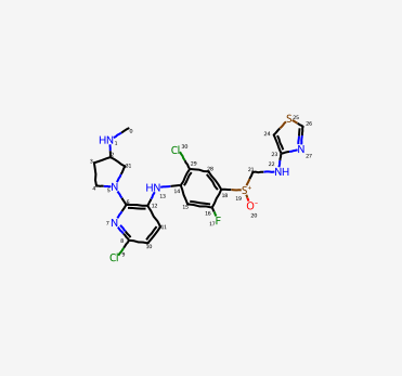 CNC1CCN(c2nc(Cl)ccc2Nc2cc(F)c([S+]([O-])CNc3cscn3)cc2Cl)C1